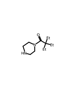 CCC(CC)(CC)C(=O)N1CCNCC1